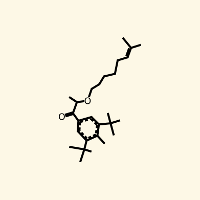 CC(C)=CCCCCCOC(C)C(=O)c1cc(C(C)(C)C)c(C)c(C(C)(C)C)c1